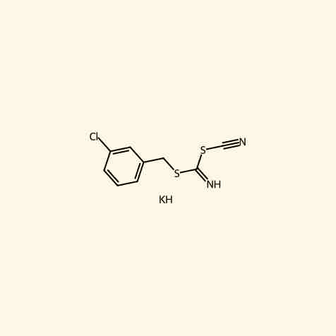 N#CSC(=N)SCc1cccc(Cl)c1.[KH]